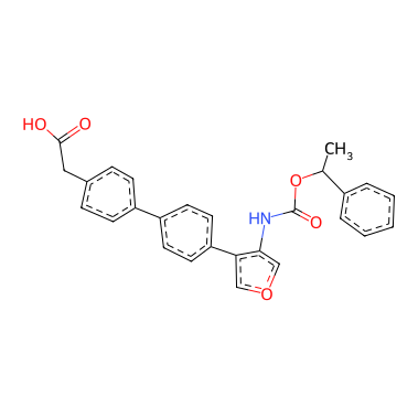 CC(OC(=O)Nc1cocc1-c1ccc(-c2ccc(CC(=O)O)cc2)cc1)c1ccccc1